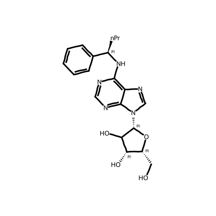 CCC[C@@H](Nc1ncnc2c1ncn2[C@@H]1O[C@H](CO)[C@H](O)C1O)c1ccccc1